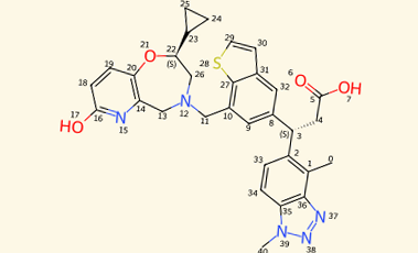 Cc1c([C@@H](CC(=O)O)c2cc(CN3Cc4nc(O)ccc4O[C@@H](C4CC4)C3)c3sccc3c2)ccc2c1nnn2C